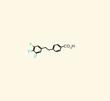 O=C(O)c1ccc(CCc2cc(F)c(F)c(F)c2)cc1